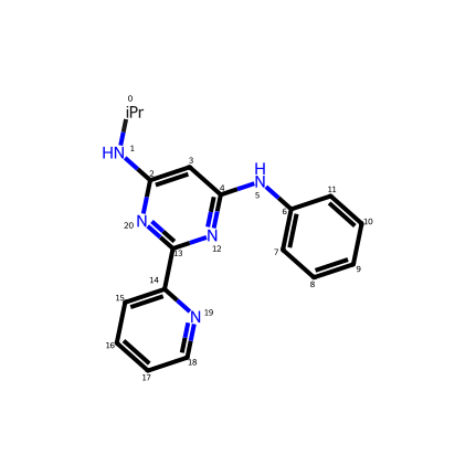 CC(C)Nc1cc(Nc2ccccc2)nc(-c2ccccn2)n1